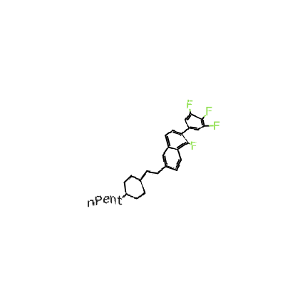 CCCCCC1CCC(CCc2ccc3c(F)c(-c4cc(F)c(F)c(F)c4)ccc3c2)CC1